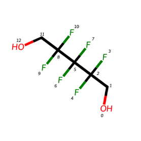 OCC(F)(F)C(F)(F)C(F)(F)CO